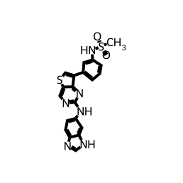 CS(=O)(=O)Nc1cccc(-c2csc3cnc(Nc4ccc5nc[nH]c5c4)nc23)c1